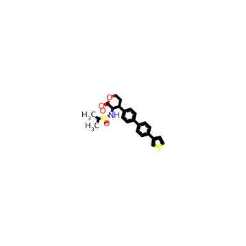 CC(C)S(=O)(=O)NC1C(=O)OCCC1c1ccc(-c2ccc(-c3ccsc3)cc2)cc1